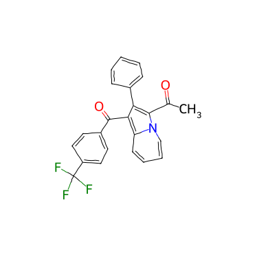 CC(=O)c1c(-c2ccccc2)c(C(=O)c2ccc(C(F)(F)F)cc2)c2ccccn12